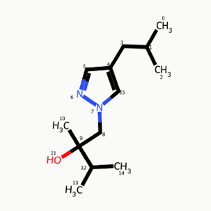 CC(C)Cc1cnn(CC(C)(O)C(C)C)c1